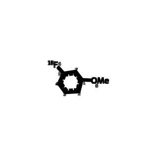 COc1cccc([18F])c1